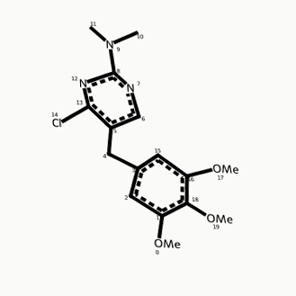 COc1cc(Cc2cnc(N(C)C)nc2Cl)cc(OC)c1OC